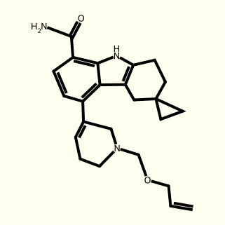 C=CCOCN1CCC=C(c2ccc(C(N)=O)c3[nH]c4c(c23)CC2(CC4)CC2)C1